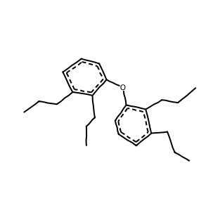 CCCc1cccc(Oc2cccc(CCC)c2CCC)c1CCC